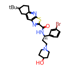 CC(C)(C)[C@H]1CCc2nc3sc(C(=O)N[C@H](CCN4CCC(O)CC4)c4cccc(Br)c4)nc3cc2C1